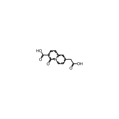 O=C(O)Cc1ccn2c(=O)c(C(=O)O)ccc2c1